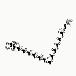 CC(=O)[O-].CC(=O)[O-].CC(=O)[O-].CC(=O)[O-].CC(=O)[O-].CC(=O)[O-].CC(=O)[O-].CC(=O)[O-].CC(=O)[O-].CC(=O)[O-].CC(=O)[O-].CC(=O)[O-].NCCN.NCCN.NCCN.[Fe+3].[Fe+3].[Fe+3].[Fe+3]